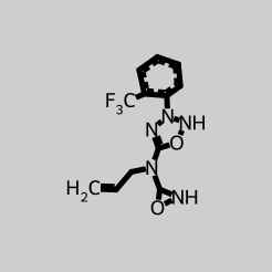 C=CCN(C1=NN(c2ccccc2C(F)(F)F)NO1)C1NO1